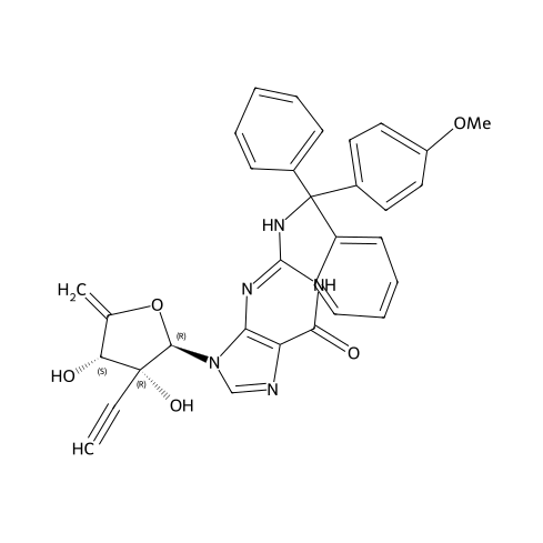 C#C[C@@]1(O)[C@H](O)C(=C)O[C@H]1n1cnc2c(=O)[nH]c(NC(c3ccccc3)(c3ccccc3)c3ccc(OC)cc3)nc21